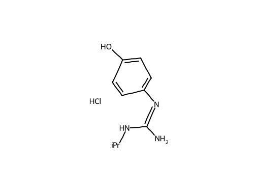 CC(C)NC(N)=Nc1ccc(O)cc1.Cl